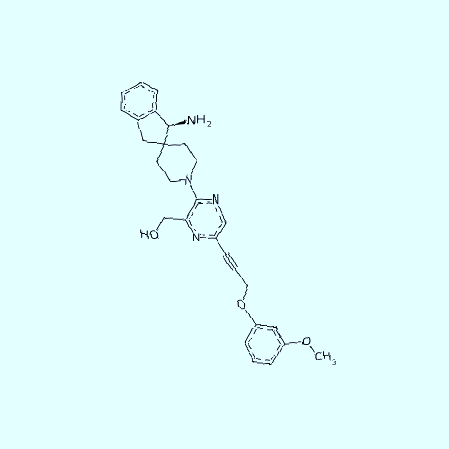 COc1cccc(OCC#Cc2cnc(N3CCC4(CC3)Cc3ccccc3[C@H]4N)c(CO)n2)c1